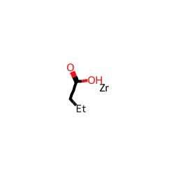 CCCC(=O)O.[Zr]